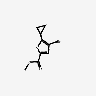 COC(=O)c1cc(Br)c(C2CC2)s1